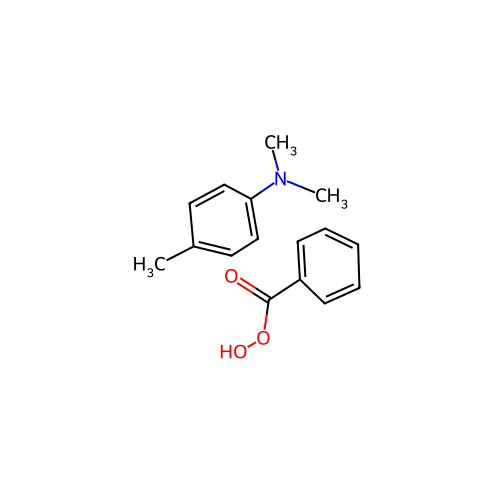 Cc1ccc(N(C)C)cc1.O=C(OO)c1ccccc1